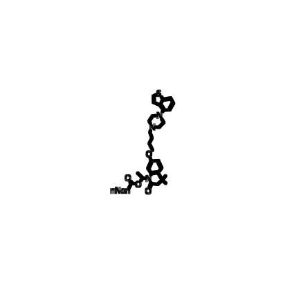 CCCCCCCCCC(=O)OC(C)N1C(=O)CC(C)(C)c2ccc(OCCCCN3CCN(c4cccc5sccc45)CC3)cc21